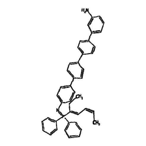 C/C=C\C=C(/CC)P(=Nc1ccc(-c2ccc(-c3ccc(-c4cccc(N)c4)cc3)cc2)cc1)(c1ccccc1)c1ccccc1